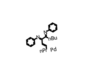 CCC/C=C/C(=N\c1ccccc1)C(/CCCC)=N/c1ccccc1.[Pd]